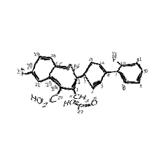 Cc1c(-c2ccc(-c3ccccc3F)cc2)nc2ccc(F)cc2c1C(=O)O.O=PO